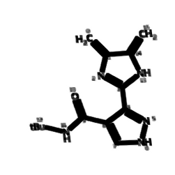 C=c1nc(-c2n[nH]cc2C(=O)NC(C)(C)C)[nH]c1=C